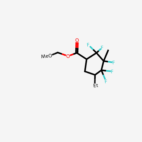 CCC1CC(C(=O)OCOC)C(F)(F)C(C)(F)C1(F)F